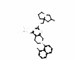 O=S(=O)(Oc1nc(OCC23CCCN2CC(F)C3)nc2c1CCN(c1cccc3cccc(Cl)c13)C2)C(F)(F)F